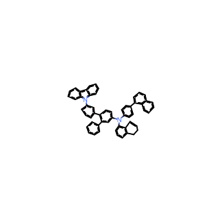 C1=Cc2c(cccc2N(c2ccc(-c3cccc4ccccc34)cc2)c2ccc(-c3cccc(-n4c5ccccc5c5ccccc54)c3)c(-c3ccccc3)c2)CC1